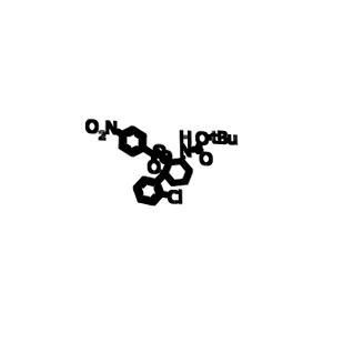 CC(C)(C)OC(=O)N[C@H]1CCC[C@@](OC(=O)c2ccc([N+](=O)[O-])cc2)(c2ccccc2Cl)C1=O